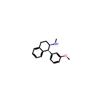 CN[C@@H]1CCc2ccccc2[C@@H]1c1cccc(OC)c1